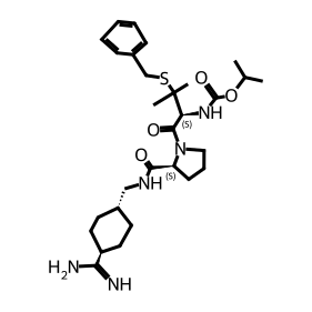 CC(C)OC(=O)N[C@@H](C(=O)N1CCC[C@H]1C(=O)NC[C@H]1CC[C@H](C(=N)N)CC1)C(C)(C)SCc1ccccc1